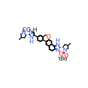 CC1C[C@@H](c2ncc(-c3ccc4c(c3)COc3cc5c(ccc6nc([C@@H]7CC(C)CN7C(=O)OC(C)(C)C)[nH]c65)cc3-4)[nH]2)N(C(=O)O)C1